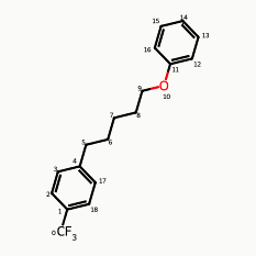 FC(F)(F)c1ccc(CCCCCOc2cc[c]cc2)cc1